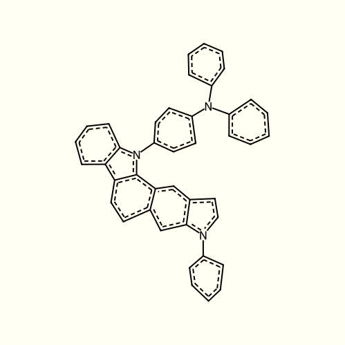 c1ccc(N(c2ccccc2)c2ccc(-n3c4ccccc4c4ccc5cc6c(ccn6-c6ccccc6)cc5c43)cc2)cc1